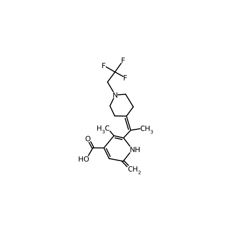 C=C1C=C(C(=O)O)C(C)=C(C(C)=C2CCN(CC(F)(F)F)CC2)N1